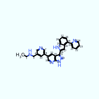 CCNCc1cncc(-c2cnc3[nH]nc(-c4cc5c(-c6ccccn6)cccc5[nH]4)c3c2)c1